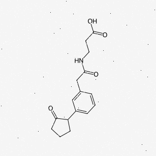 O=C(O)CCNC(=O)Cc1cccc(C2CCCC2=O)c1